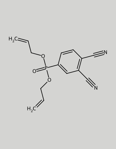 C=CCOP(=O)(OCC=C)c1ccc(C#N)c(C#N)c1